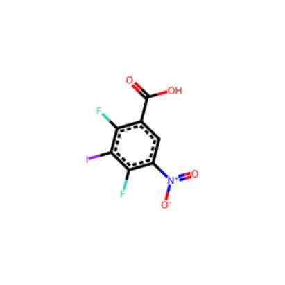 O=C(O)c1cc([N+](=O)[O-])c(F)c(I)c1F